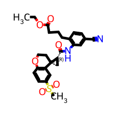 CCOC(=O)CCCc1ccc(C#N)cc1NC(=O)[C@@H]1C[C@]12CCOc1ccc(S(C)(=O)=O)cc12